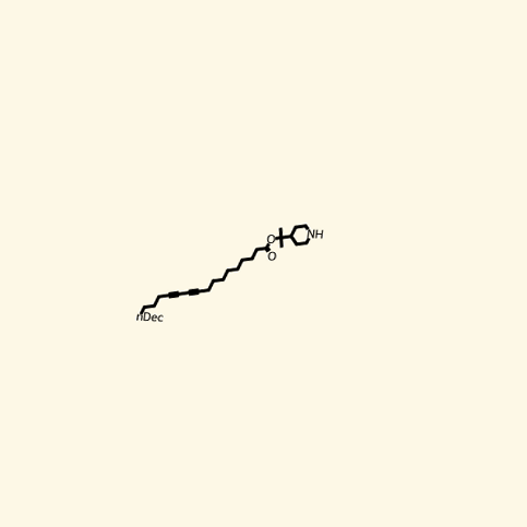 CCCCCCCCCCCCCC#CC#CCCCCCCCCC(=O)OC(C)(C)C1CCNCC1